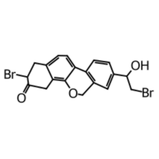 O=C1Cc2c(ccc3c2OCc2cc(C(O)CBr)ccc2-3)CC1Br